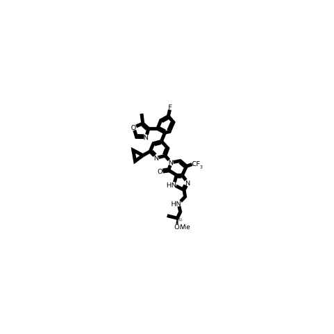 CO[C@@H](C)CNCc1nc2c(C(F)(F)F)cn(-c3cc(-c4ccc(F)cc4-c4ncoc4C)cc(C4CC4)n3)c(=O)c2[nH]1